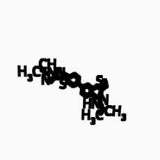 CC(C)c1ncc(-c2cc3ccc(-c4ccc5c(c4)c4sccc4c4nc(C(C)C)[nH]c54)cc3s2)[nH]1